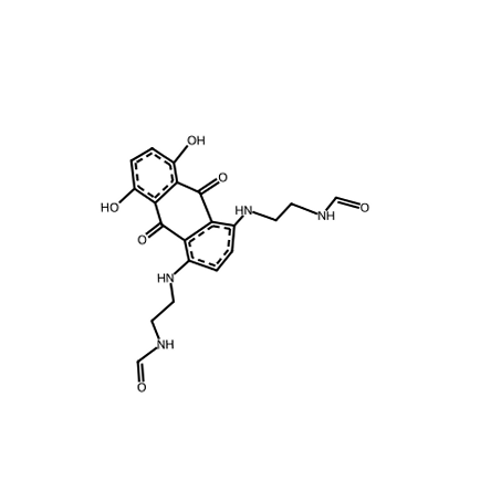 O=CNCCNc1ccc(NCCNC=O)c2c1C(=O)c1c(O)ccc(O)c1C2=O